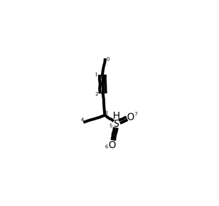 CC#CC(C)[SH](=O)=O